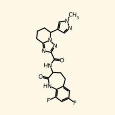 Cn1cc(C2CCCc3nc(C(=O)NC4CCc5cc(F)cc(F)c5NC4=O)nn32)cn1